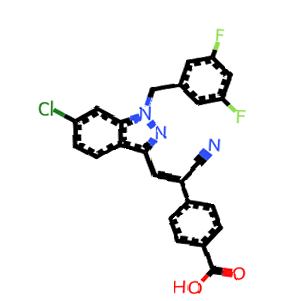 N#CC(=Cc1nn(Cc2cc(F)cc(F)c2)c2cc(Cl)ccc12)c1ccc(C(=O)O)cc1